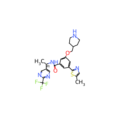 Cc1cnc(-c2cc(OCC3CCNCC3)cc(C(=O)N[C@H](C)c3cnc(C(F)(F)F)nc3)c2)s1